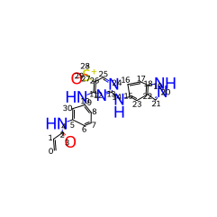 C=CC(=O)Nc1cccc(Nc2nc(Nc3ccc4[nH]ncc4c3)ncc2[S+](C)[O-])c1